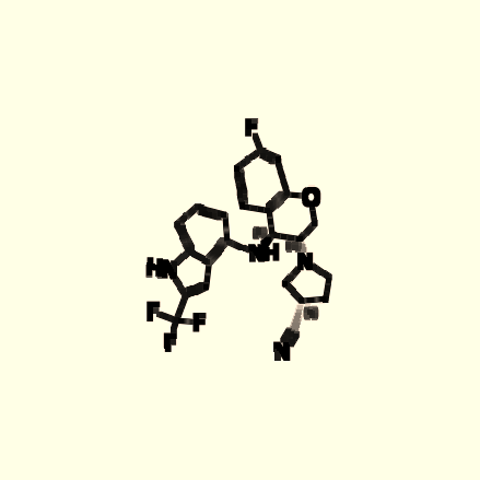 N#C[C@H]1CCN([C@H]2COc3cc(F)ccc3[C@@H]2Nc2cccc3[nH]c(C(F)(F)F)cc23)C1